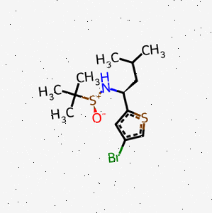 CC(C)C[C@H](N[S@@+]([O-])C(C)(C)C)c1cc(Br)cs1